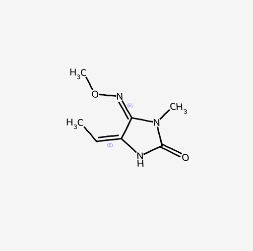 C/C=C1/NC(=O)N(C)/C1=N/OC